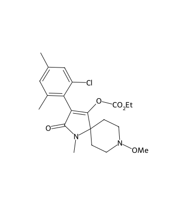 CCOC(=O)OC1=C(c2c(C)cc(C)cc2Cl)C(=O)N(C)C12CCN(OC)CC2